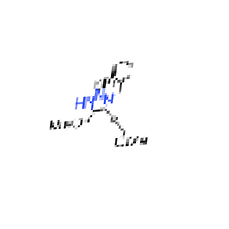 CCCN1NC(COC)=C(C#CCOC)N1Cc1ccccc1